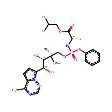 CCC(CC)COC(=O)[C@H](C)NP(=O)(OC[C@@](C#N)(OC)[C@@H](O)[C@@H](O)c1ccc2c(N)ncnn12)Oc1ccccc1